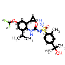 Cc1cc(C(C)(C)O)ccc1[S@](N)(=O)=NC(=O)Nc1c(C(C)C)cc(OC(F)F)cc1C1CC1